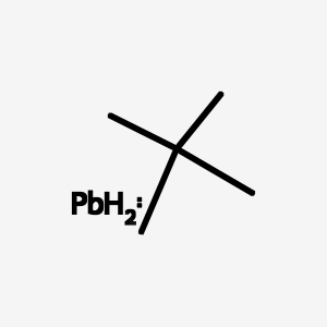 CC(C)(C)C.[PbH2]